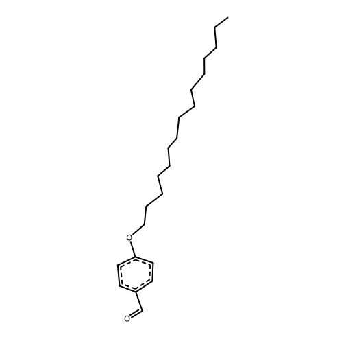 CCCCCCCCCCCCCCCOc1ccc(C=O)cc1